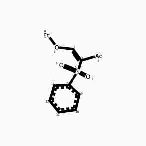 CCO/C=C(/C(C)=O)S(=O)(=O)c1ccccc1